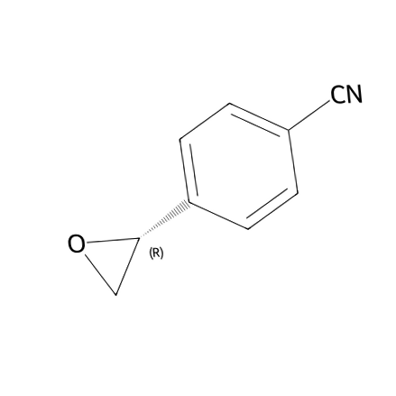 N#Cc1ccc([C@@H]2CO2)cc1